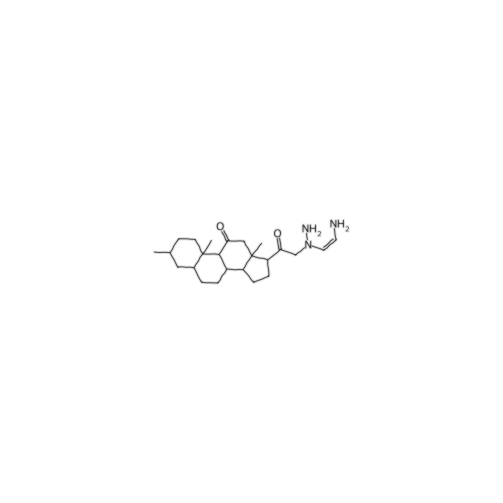 CC1CCC2(C)C(CCC3C4CCC(C(=O)CN(N)/C=C\N)C4(C)CC(=O)C32)C1